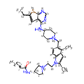 C=CC(=O)N[C@H]1CCN(CCn2c(C#N)cc3c(C)c(CN4CCC(Nc5ncnc6sc(CC(F)(F)F)cc56)CC4)ccc32)C1